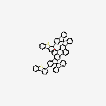 c1ccc2c(c1)-c1ccc(-c3cccc4c3sc3ccccc34)cc1C21c2ccccc2-c2c1cc1c3cccc4c5c(cc(c6cccc2c61)c43)C1(c2ccccc2-c2ccccc21)c1cc(-c2cccc3c2sc2ccccc23)ccc1-5